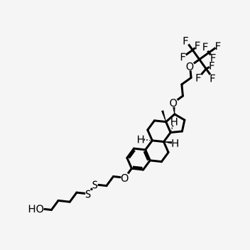 C[C@]12CC[C@@H]3c4ccc(OCCSSCCCCO)cc4CC[C@H]3[C@@H]1CC[C@@H]2OCCCOC(C(F)(F)F)(C(F)(F)F)C(F)(F)F